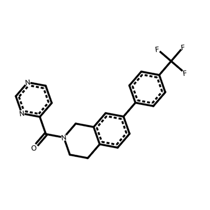 O=C(c1ccncn1)N1CCc2ccc(-c3ccc(C(F)(F)F)cc3)cc2C1